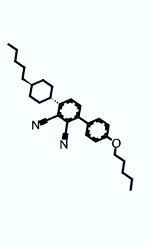 CCCCCOc1ccc(-c2ccc([C@H]3CC[C@H](CCCCC)CC3)c(C#N)c2C#N)cc1